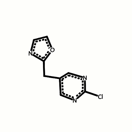 Clc1ncc(Cc2ncco2)cn1